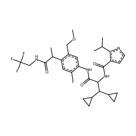 COCc1cc(NC(=O)C(NC(=O)c2ccnn2C(C)C)C(C2CC2)C2CC2)c(F)cc1C(C)C(=O)NCC(F)(F)F